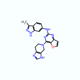 Cc1n[nH]c2cc(Nc3nc(N4CCc5nc[nH]c5C4)c4occc4n3)ccc12